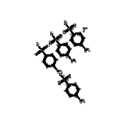 Nc1ccc(S(=O)(=O)[O-])cc1.Nc1ccc(S(=O)(=O)[O-])cc1.Nc1ccc(S(=O)(=O)[O-])cc1.Nc1ccc(S(=O)(=O)[O-])cc1.[Ti+4]